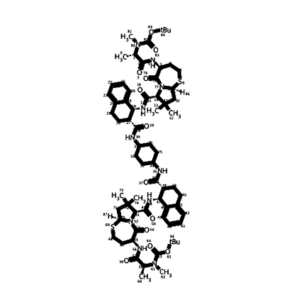 C[C@@H](C(=O)N[C@H]1CCS[C@H]2CC(C)(C)[C@@H](C(=O)N[C@H]3c4ccccc4CC[C@H]3C(=O)NC3CCC(NC(=O)[C@@H]4CCc5ccccc5[C@@H]4NC(=O)[C@H]4N5C(=O)[C@@H](NC(=O)[C@H](C)N(C)C(=O)OC(C)(C)C)CCS[C@H]5CC4(C)C)CC3)N2C1=O)N(C)C(=O)OC(C)(C)C